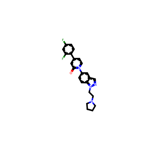 O=c1cc(-c2ccc(F)cc2F)ccn1-c1ccc2c(cnn2CCN2CCCC2)c1